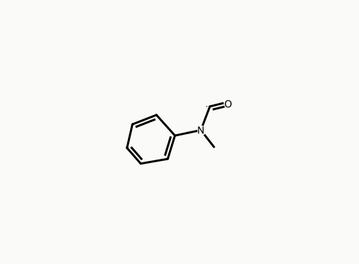 CN([C]=O)c1ccccc1